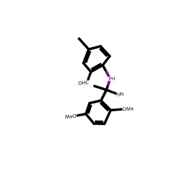 CCCC(C)(Pc1ccc(C)cc1C=O)c1cc(OC)ccc1OC